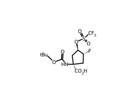 CC(C)(C)OC(=O)N[C@]1(C(=O)O)C[C@@H](F)[C@H](OS(=O)(=O)C(F)(F)F)C1